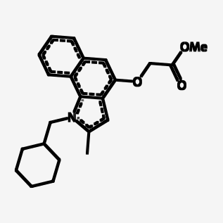 COC(=O)COc1cc2ccccc2c2c1cc(C)n2CC1CCCCC1